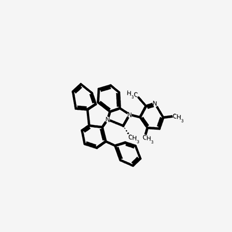 Cc1cc(C)c(N2c3ccccc3N(c3c(-c4ccccc4)cccc3-c3ccccc3)[C@H]2C)c(C)n1